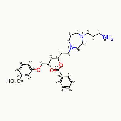 NCCCN1CCCN(CCC(CCCOc2cccc(C(=O)O)c2)OC(=O)c2ccccc2)CC1